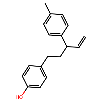 C=CC(CCc1ccc(O)cc1)c1ccc(C)cc1